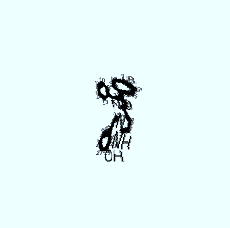 N=C1CCC(c2nc(-c3ccccc3)c(-c3ccccc3)o2)N1Cc1cccc(O)c1